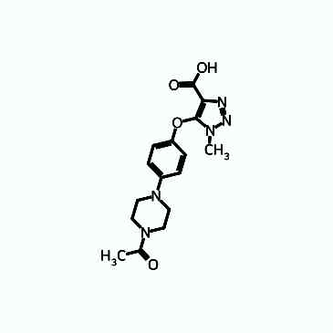 CC(=O)N1CCN(c2ccc(Oc3c(C(=O)O)nnn3C)cc2)CC1